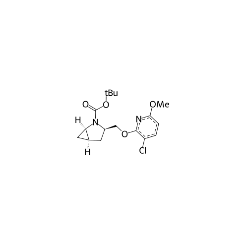 COc1ccc(Cl)c(OC[C@H]2C[C@H]3C[C@H]3N2C(=O)OC(C)(C)C)n1